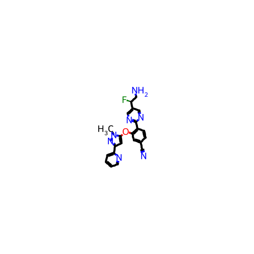 Cn1nc(-c2ccccn2)cc1Oc1cc(C#N)ccc1-c1ncc([C@@H](F)CN)cn1